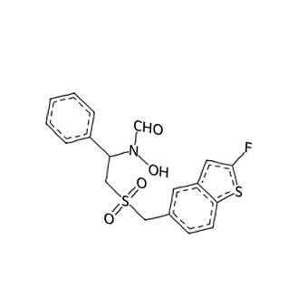 O=CN(O)C(CS(=O)(=O)Cc1ccc2sc(F)cc2c1)c1ccccc1